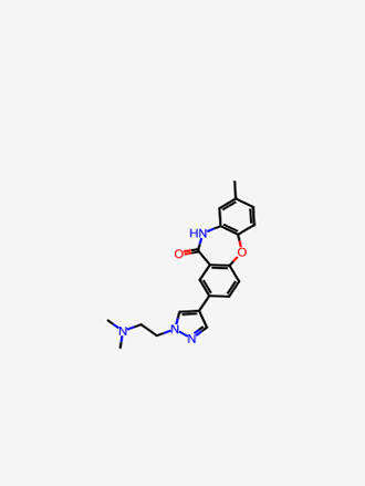 Cc1ccc2c(c1)NC(=O)c1cc(-c3cnn(CCN(C)C)c3)ccc1O2